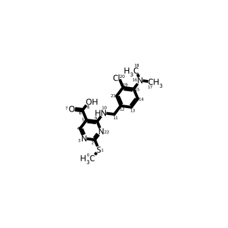 CSc1ncc(C(=O)O)c(NCc2ccc(N(C)C)c(Cl)c2)n1